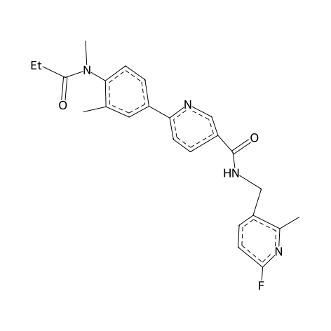 CCC(=O)N(C)c1ccc(-c2ccc(C(=O)NCc3ccc(F)nc3C)cn2)cc1C